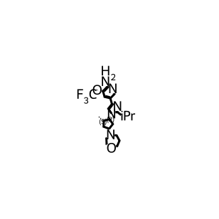 CC(C)c1nc(-c2cnc(N)c(OC(F)(F)F)c2)cn1[C@@H]1CC(N2CCCOCC2)C[C@@H]1C